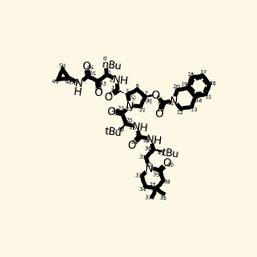 CCCCC(NC(=O)[C@@H]1C[C@@H](OC(=O)N2CCc3ccccc3C2)CN1C(=O)[C@@H](NC(=O)N[C@H](CN1CCC(C)(C)CC1=O)C(C)(C)C)C(C)(C)C)C(=O)C(=O)NC1CC1